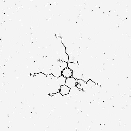 C=C(C)[C@@H]1CCC(C)=C[C@H]1c1c(OCOCC)cc(C(C)(C)CCCCCC)cc1OCOCC